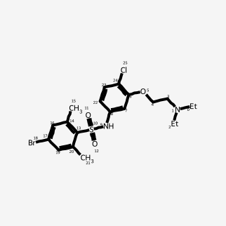 CCN(CC)CCOc1cc(NS(=O)(=O)c2c(C)cc(Br)cc2C)ccc1Cl